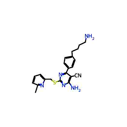 Cc1cccc(CSc2nc(N)c(C#N)c(-c3ccc(CCCCN)cc3)n2)n1